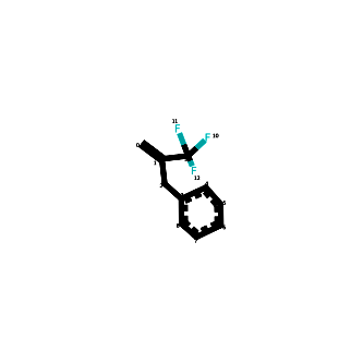 C=C(Cc1ccccc1)C(F)(F)F